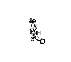 CC[C@H](C)CC(=O)O[C@H](C)CC(=O)N[C@@H](CC(C)C)C(=O)OCc1ccccc1